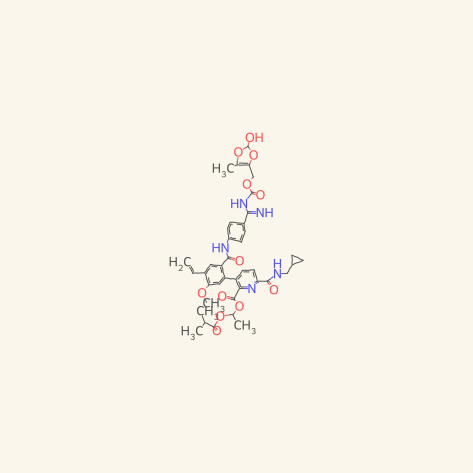 C=Cc1cc(C(=O)Nc2ccc(C(=N)NC(=O)OCC3=C(C)OC(O)O3)cc2)c(-c2ccc(C(=O)NCC3CC3)nc2C(=O)OC(C)OC(=O)C(C)C)cc1OC